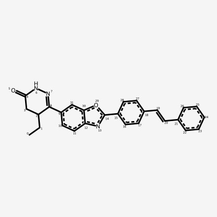 CCC1CC(=O)NN=C1c1ccc2nc(-c3ccc(C=Cc4ccccc4)cc3)oc2c1